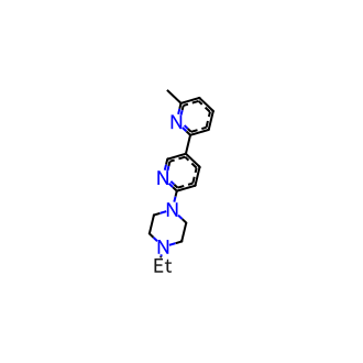 CCN1CCN(c2ccc(-c3cccc(C)n3)cn2)CC1